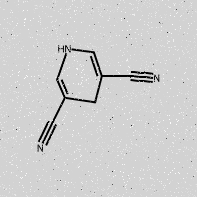 N#CC1=CNC=C(C#N)C1